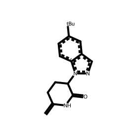 C=C1CCC(n2ncc3cc(C(C)(C)C)ccc32)C(=O)N1